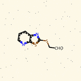 O=CCSc1nc2cccnc2s1